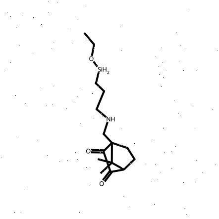 CCO[SiH2]CCCNCC12CCC(C(=O)C1=O)C2(C)C